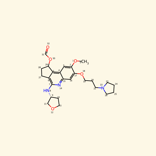 COc1cc2c3c(c(N[C@@H]4CCOC4)nc2cc1OCCCN1CCCC1)CCC3OC=O